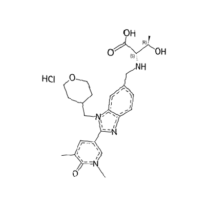 Cc1cc(-c2nc3ccc(CN[C@H](C(=O)O)[C@@H](C)O)cc3n2CC2CCOCC2)cn(C)c1=O.Cl